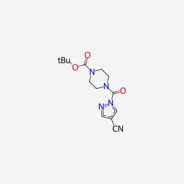 CC(C)(C)OC(=O)N1CCN(C(=O)n2cc(C#N)cn2)CC1